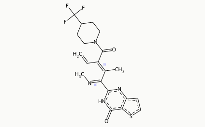 C=C/C(C(=O)N1CCC(C(F)(F)F)CC1)=C(C)\C(=N/C)c1nc2ccsc2c(=O)[nH]1